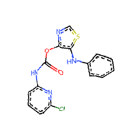 O=C(Nc1cccc(Cl)n1)Oc1ncsc1Nc1ccccc1